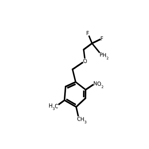 Cc1cc(COCC(F)(F)P)c([N+](=O)[O-])cc1C